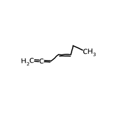 C=C=C/C=C/CC